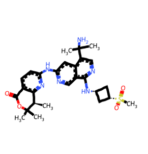 C[C@@H]1c2nc(Nc3cc4c(C(C)(C)N)cnc(N[C@H]5C[C@@H](S(C)(=O)=O)C5)c4cn3)ccc2C(=O)OC1(C)C